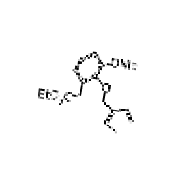 C=C/C(=C\C)COc1c(CC(=O)OCC)cccc1OC